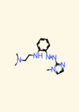 CN(C)CCNc1ccccc1/N=N/c1nccn1C